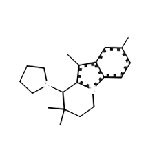 Cc1c2n(c3ccc(Br)cc13)CCC(C)(C)C2N1CCCC1.Cl